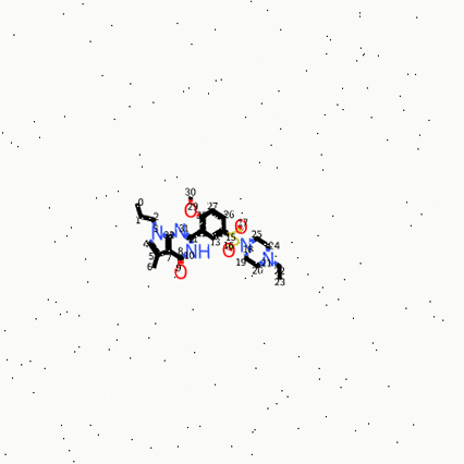 CCCn1cc(C)c2c(=O)[nH]c(-c3cc(S(=O)(=O)N4CCN(CC)CC4)ccc3OC)nc21